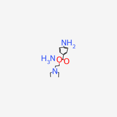 CCN(CC)CCOC(=O)c1ccc(N)cc1.N